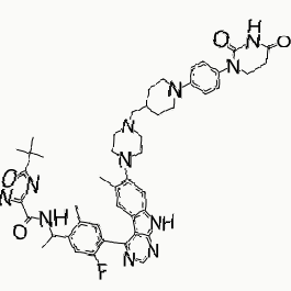 Cc1cc(-c2ncnc3[nH]c4cc(N5CCN(CC6CCN(c7ccc(N8CCC(=O)NC8=O)cc7)CC6)CC5)c(C)cc4c23)c(F)cc1C(C)NC(=O)c1noc(C(C)(C)C)n1